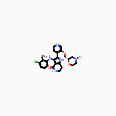 COc1c(Cl)cccc1Nc1c(-c2ccncc2OC[C@@H]2CN(C(C)=O)CCO2)[nH]c2c1C(=O)NCC2